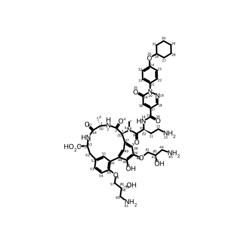 C[C@@H]1NC(=O)[C@@H](N(C)C(=O)[C@H](CCN)NC(=O)c2cnn(-c3ccc(OC4CCCCC4)cc3)c(=O)c2)c2cc(OC[C@H](O)CN)c(O)c(c2)-c2cc(ccc2OC[C@H](O)CN)C[C@@H](C(=O)O)NC1=O